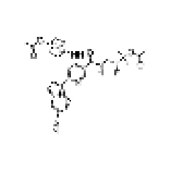 CC(=O)OC12CCC(Nc3cc(-c4ccc5cc(C#N)cnn45)ncc3C(=O)NCC(F)C(C)(C)OC(C)=O)(CC1)CC2